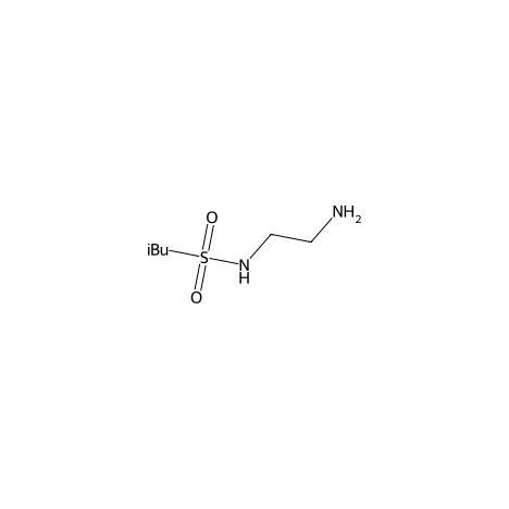 CCC(C)S(=O)(=O)NCCN